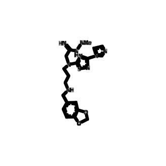 CNNC(=N)CN(CCCNCc1ccc2c(c1)OCO2)c1nc(-n2ccnc2)ns1